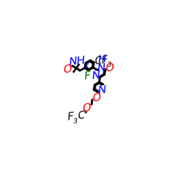 CC(C)(Cc1ccc(C(F)(F)F)c(-c2nc(-c3ccc(OCCOCC(F)(F)F)nc3)cc(=O)[nH]2)c1F)C(N)=O